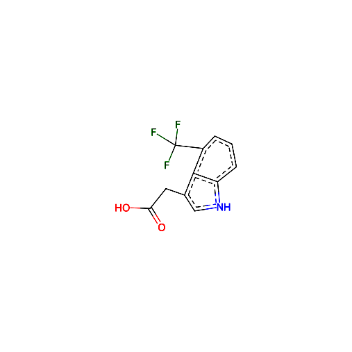 O=C(O)Cc1c[nH]c2cccc(C(F)(F)F)c12